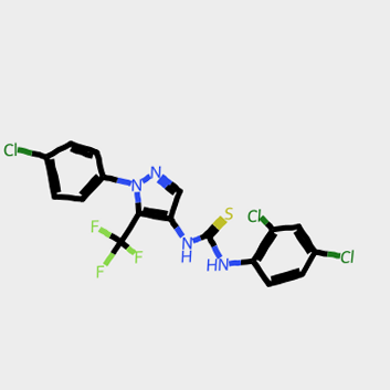 FC(F)(F)c1c(NC(=S)Nc2ccc(Cl)cc2Cl)cnn1-c1ccc(Cl)cc1